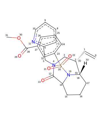 C=C[C@H]1CN(Cc2ccccn2)C(=O)C2CCC[C@@H]1N2S(=O)(=O)c1cccc(C(=O)OC)c1